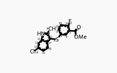 COC(=O)c1cc(Sc2c(C)[nH]c3cc(Cl)ccc23)ccc1F